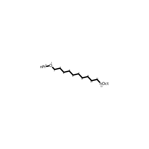 C[CH]COCCCCCCCCCCCCCCCCCC